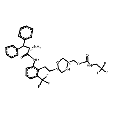 N[C@H](C(=O)Nc1cccc(C(F)(F)F)c1CC[C@@H]1CN[C@H](COC(=O)NCC(F)(F)F)CO1)C(c1ccccc1)c1ccccc1